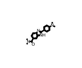 CN(C)C(=O)c1ccc2nc(-c3ccc(N(C)C)cc3)[nH]c2c1